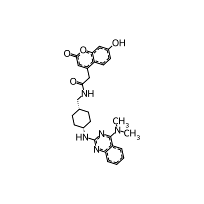 CN(C)c1nc(N[C@H]2CC[C@@H](CNC(=O)Cc3cc(=O)oc4cc(O)ccc34)CC2)nc2ccccc12